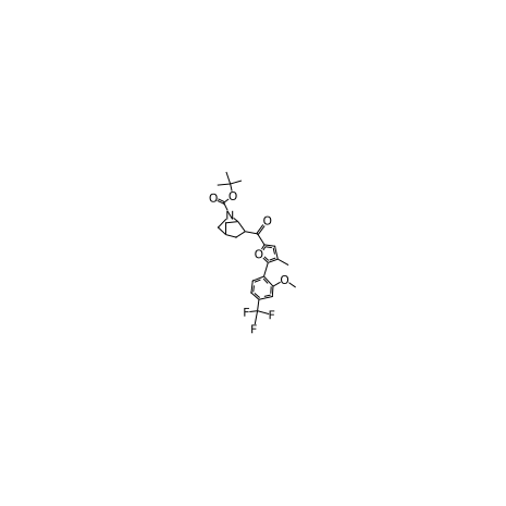 COc1cc(C(F)(F)F)ccc1-c1oc(C(=O)C2CC3CC2N(C(=O)OC(C)(C)C)C3)cc1C